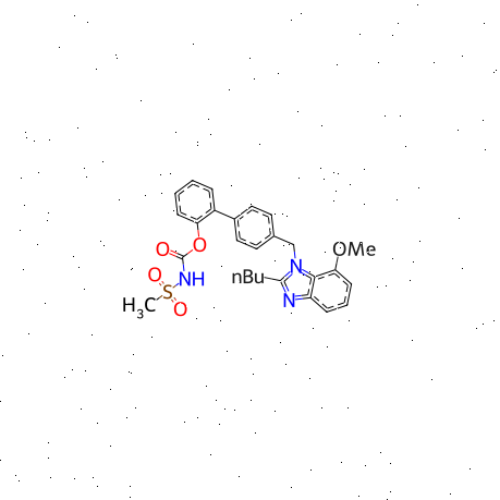 CCCCc1nc2cccc(OC)c2n1Cc1ccc(-c2ccccc2OC(=O)NS(C)(=O)=O)cc1